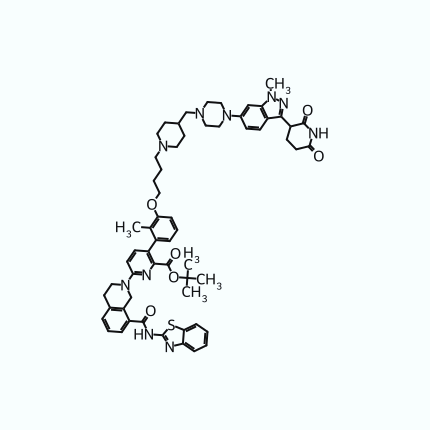 Cc1c(OCCCCN2CCC(CN3CCN(c4ccc5c(C6CCC(=O)NC6=O)nn(C)c5c4)CC3)CC2)cccc1-c1ccc(N2CCc3cccc(C(=O)Nc4nc5ccccc5s4)c3C2)nc1C(=O)OC(C)(C)C